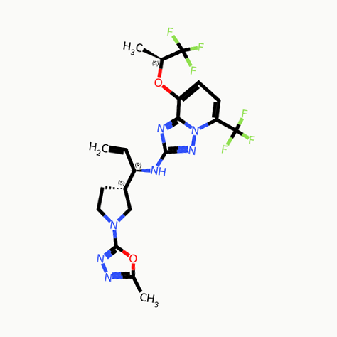 C=C[C@@H](Nc1nc2c(O[C@@H](C)C(F)(F)F)ccc(C(F)(F)F)n2n1)[C@H]1CCN(c2nnc(C)o2)C1